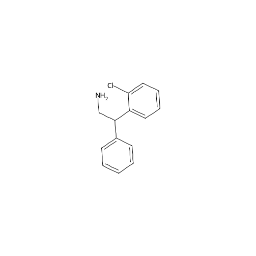 NCC(c1ccccc1)c1ccccc1Cl